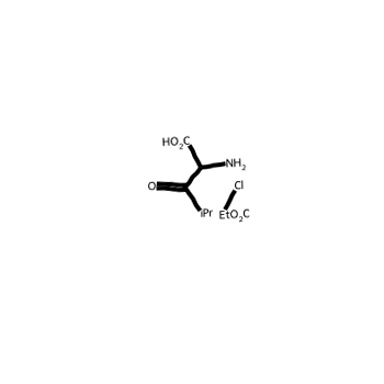 CC(C)C(=O)C(N)C(=O)O.CCOC(=O)Cl